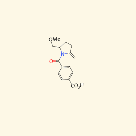 C=C1CCC(COC)N1C(=O)c1ccc(C(=O)O)cc1